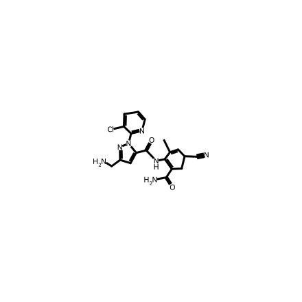 CC1=CC(C#N)CC(C(N)=O)=C1NC(=O)c1cc(CN)nn1-c1ncccc1Cl